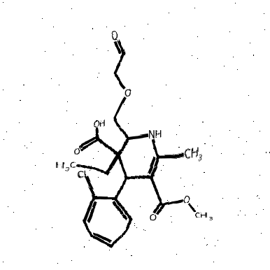 CCC1(C(=O)O)C(COCC=O)NC(C)=C(C(=O)OC)C1c1ccccc1Cl